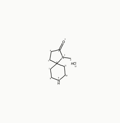 CN1C(=O)CCC12CCNCC2.Cl